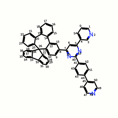 c1cncc(-c2cc(-c3ccc4c(c3)-c3ccccc3-c3ccccc3C43c4ccccc4-c4ccccc43)nc(-c3ccc(-c4ccncc4)cc3)n2)c1